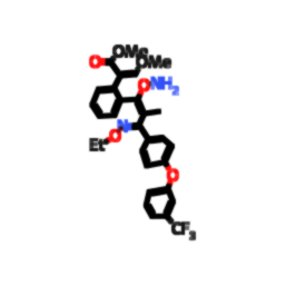 CCON=C(C(C)=C(ON)c1ccccc1C(=COC)C(=O)OC)c1ccc(Oc2cccc(C(F)(F)F)c2)cc1